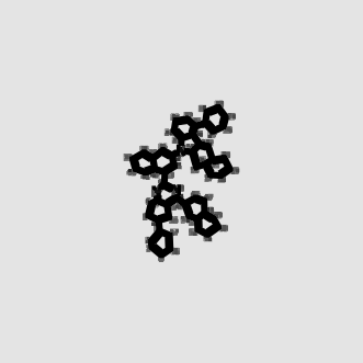 c1ccc(-c2ccc3nc(-c4cc(-n5c6cc7ccccc7cc6c6c(-c7ccccc7)cccc65)cc5ccccc45)nc(-c4ccc5ccccc5c4)c3c2)cc1